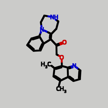 Cc1cc(C)c2cccnc2c1OCC(=O)c1c2n(c3ccccc13)CCNCC2